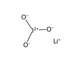 [Li+].[O-][I+2]([O-])[O-]